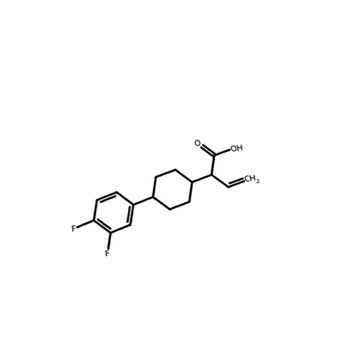 C=CC(C(=O)O)C1CCC(c2ccc(F)c(F)c2)CC1